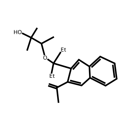 C=C(C)c1cc2ccccc2cc1C(CC)(CC)OC(C)C(C)(C)O